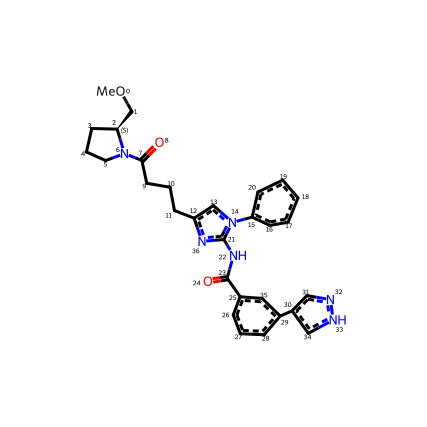 COC[C@@H]1CCCN1C(=O)CCCc1cn(-c2ccccc2)c(NC(=O)c2cccc(-c3cn[nH]c3)c2)n1